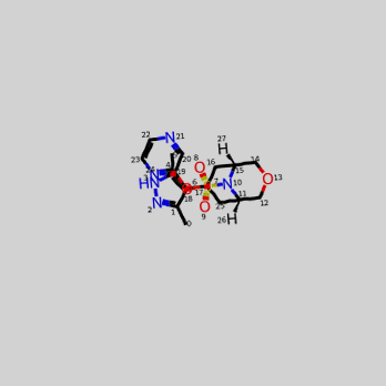 Cc1n[nH]c(C)c1S(=O)(=O)N1[C@@H]2COC[C@H]1CC(Oc1cnccn1)C2